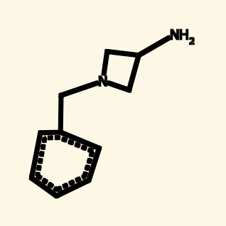 NC1CN(Cc2ccccc2)C1